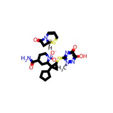 Cn1nc(O)c(=O)nc1SC1CC1(C1CCCC1)C1CC(C(N)=O)CC[N+]1([O-])[O-].O=C1C[C@@H]2SCC=CN12